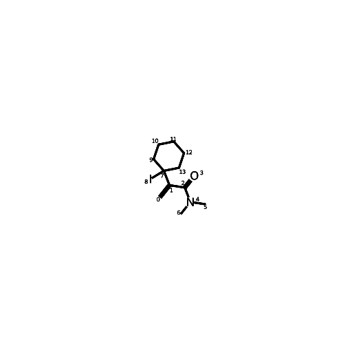 C=C(C(=O)N(C)C)C1(I)CCCCC1